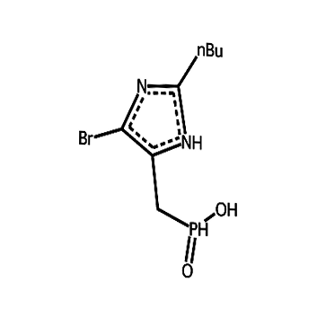 CCCCc1nc(Br)c(C[PH](=O)O)[nH]1